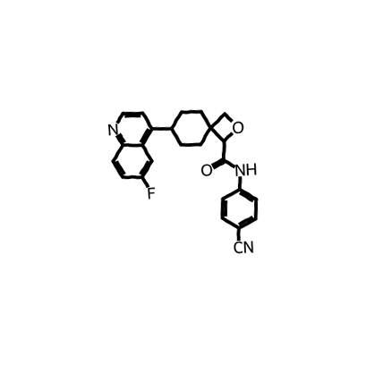 N#Cc1ccc(NC(=O)C2OCC23CCC(c2ccnc4ccc(F)cc24)CC3)cc1